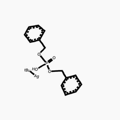 C[C](C)(C)[Ag].O=P(O)(OCc1ccccc1)OCc1ccccc1